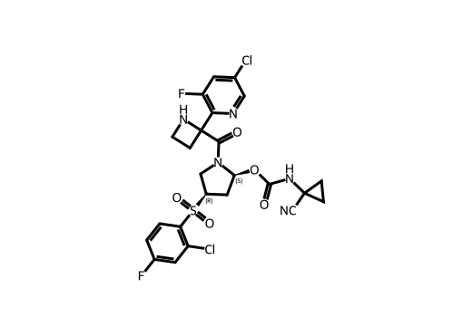 N#CC1(NC(=O)O[C@H]2C[C@@H](S(=O)(=O)c3ccc(F)cc3Cl)CN2C(=O)C2(c3ncc(Cl)cc3F)CCN2)CC1